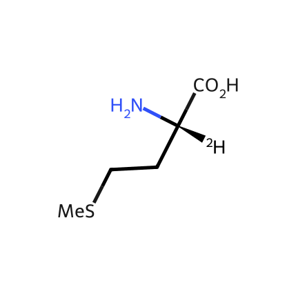 [2H][C@](N)(CCSC)C(=O)O